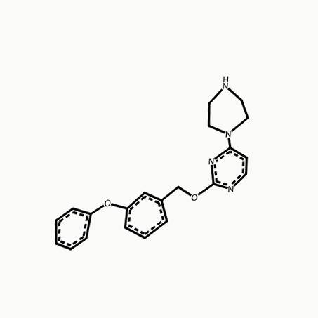 c1ccc(Oc2cccc(COc3nccc(N4CCNCC4)n3)c2)cc1